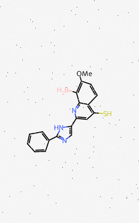 Bc1c(OC)ccc2c(S)cc(-c3cnc(-c4ccccc4)[nH]3)nc12